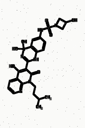 CC(C)CCn1c(=O)c(C2=NS(O)(O)c3cc(NS(=O)(=O)N4CC(O)C4)ccc3N2)c(O)c2cccnc21